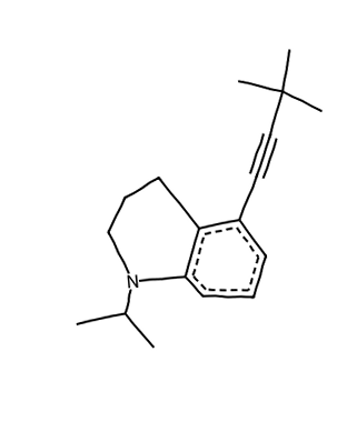 CC(C)N1CCCc2c(C#CC(C)(C)C)cccc21